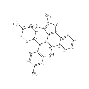 CCOC(=O)c1c(C)oc2c1c(C(c1ccc(C)cc1)N1CCN(C)CC1)c(O)c1ccccc12